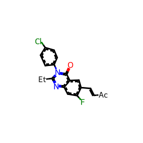 CCc1nc2cc(F)c(/C=C/C(C)=O)cc2c(=O)n1-c1ccc(Cl)cc1